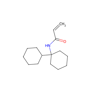 C=CC(=O)NC1(C2CCCCC2)CCCCC1